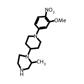 COc1cc(N2CCC(N3CCNCC3C)CC2)ccc1[N+](=O)[O-]